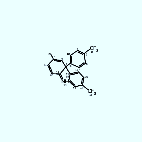 CC1=CC(c2ccc(C(F)(F)F)cc2)(c2ccc(C(F)(F)F)cc2)C(=N)C=C1